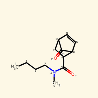 CCCCN(C)C(=O)C1CC2C=CC1C2=O